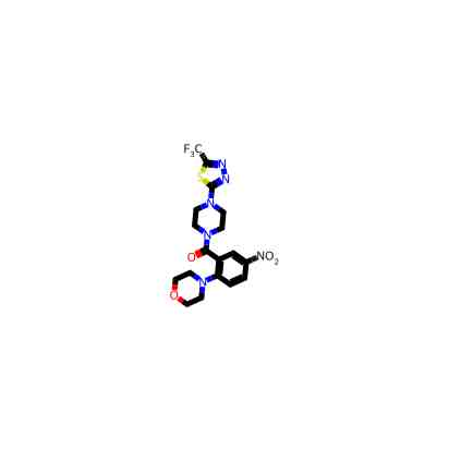 O=C(c1cc([N+](=O)[O-])ccc1N1CCOCC1)N1CCN(c2nnc(C(F)(F)F)s2)CC1